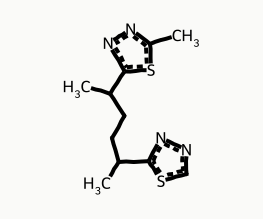 Cc1nnc(C(C)CCC(C)c2nncs2)s1